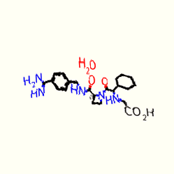 N=C(N)c1ccc(CNC(=O)[C@@H]2CCN2C(=O)C(NCC(=O)O)C2CCCCC2)cc1.O